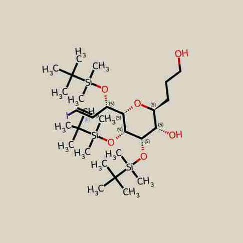 CC(C)(C)[Si](C)(C)O[C@@H]1[C@H]([C@H](/C=C/I)O[Si](C)(C)C(C)(C)C)O[C@@H](CCCO)[C@H](O)[C@@H]1O[Si](C)(C)C(C)(C)C